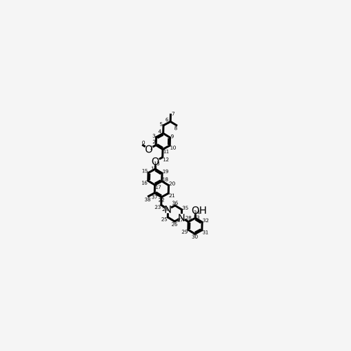 COc1cc(CC(C)C)ccc1COc1ccc2c(c1)CCC(CN1CCN(c3ccccc3O)CC1)=C2C